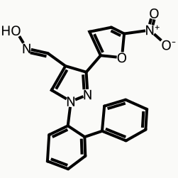 O=[N+]([O-])c1ccc(-c2nn(-c3ccccc3-c3ccccc3)cc2C=NO)o1